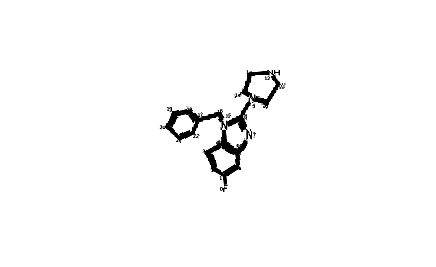 Fc1ccc2c(c1)nc(N1CCNCC1)n2Cc1ccccc1